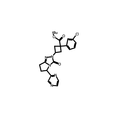 CC(C)(C)OC(=O)C1(c2cccc(Cl)c2)CC(n2nc3n(c2=O)C(c2cnccn2)CC3)C1